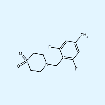 Cc1cc(F)c(CN2CCS(=O)(=O)CC2)c(F)c1